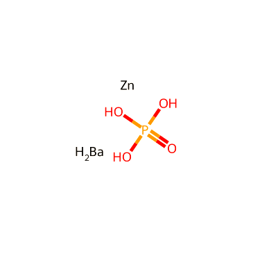 O=P(O)(O)O.[BaH2].[Zn]